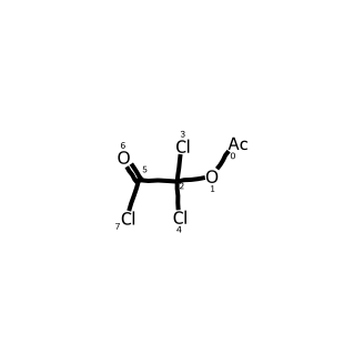 CC(=O)OC(Cl)(Cl)C(=O)Cl